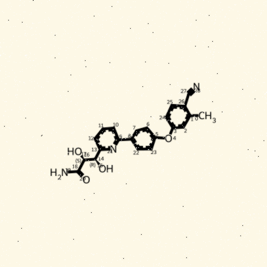 Cc1cc(Oc2ccc(-c3cccc([C@@H](O)[C@H](O)C(N)=O)n3)cc2)ccc1C#N